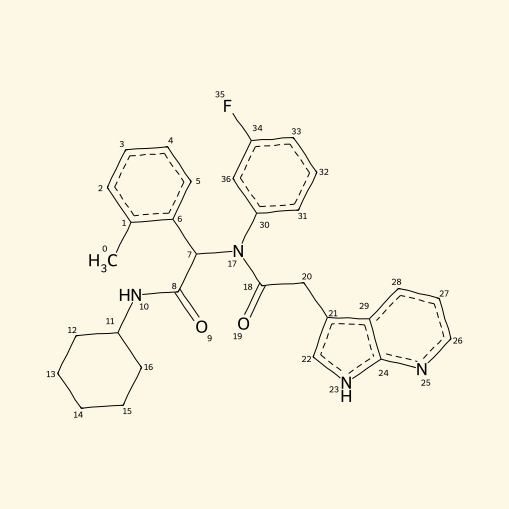 Cc1ccccc1C(C(=O)NC1CCCCC1)N(C(=O)Cc1c[nH]c2ncccc12)c1cccc(F)c1